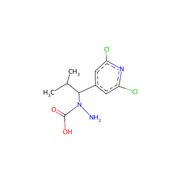 C[C](C)C(c1cc(Cl)nc(Cl)c1)N(N)C(=O)O